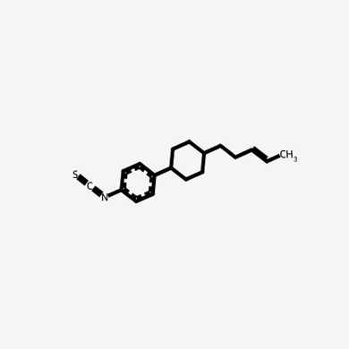 C/C=C/CCC1CCC(c2ccc(N=C=S)cc2)CC1